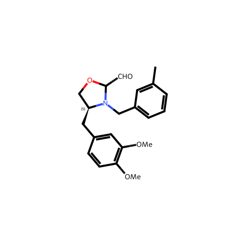 COc1ccc(C[C@H]2COC(C=O)N2Cc2cccc(C)c2)cc1OC